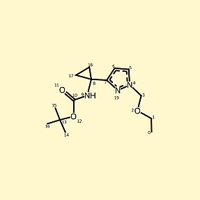 CCOCn1ccc(C2(NC(=O)OC(C)(C)C)CC2)n1